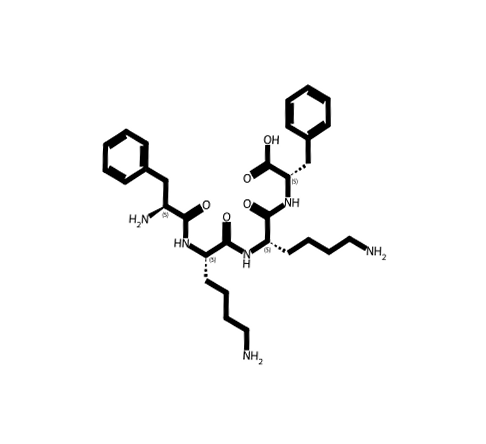 NCCCC[C@H](NC(=O)[C@H](CCCCN)NC(=O)[C@@H](N)Cc1ccccc1)C(=O)N[C@@H](Cc1ccccc1)C(=O)O